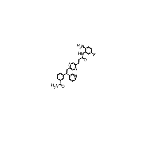 NC(=O)c1cccc(/C(=C/c2cnc(/C=C/C(=O)Nc3cc(F)ccc3N)cn2)c2cccnc2)c1